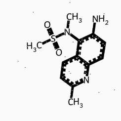 Cc1ccc2c(N(C)S(C)(=O)=O)c(N)ccc2n1